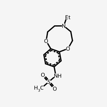 CCN1CCOc2ccc(NS(C)(=O)=O)cc2OCC1